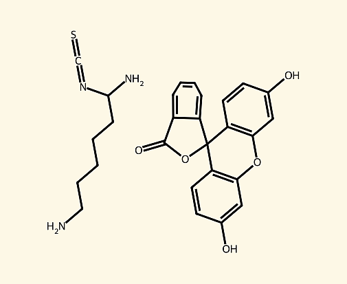 NCCCCCC(N)N=C=S.O=C1OC2(c3ccc(O)cc3Oc3cc(O)ccc32)c2ccccc21